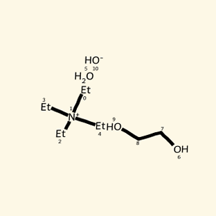 CC[N+](CC)(CC)CC.O.OCCO.[OH-]